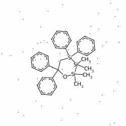 C[Si]1(C)OC(c2ccccc2)(c2ccccc2)C[Si](c2ccccc2)(c2ccccc2)[Si]1(C)C